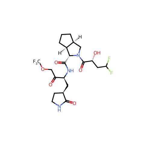 O=C1NCC[C@H]1C[C@H](NC(=O)[C@@H]1[C@H]2CCC[C@H]2CN1C(=O)[C@H](O)CC(F)F)C(=O)COC(F)(F)F